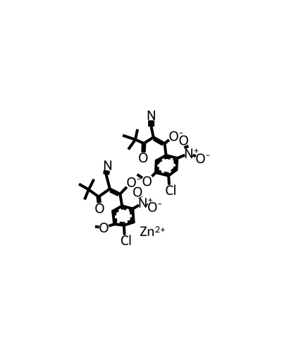 COc1cc(C([O-])=C(C#N)C(=O)C(C)(C)C)c([N+](=O)[O-])cc1Cl.COc1cc(C([O-])=C(C#N)C(=O)C(C)(C)C)c([N+](=O)[O-])cc1Cl.[Zn+2]